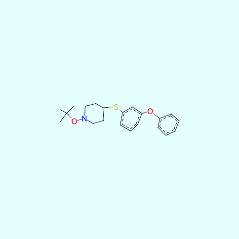 CC(C)(C)ON1CCC(Sc2cccc(Oc3ccccc3)c2)CC1